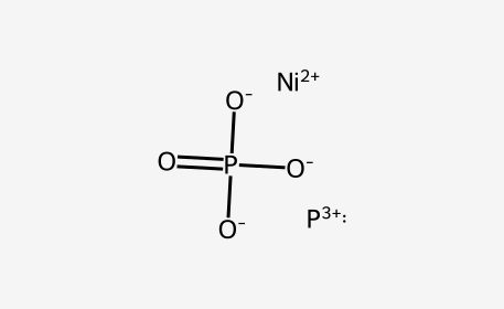 O=P([O-])([O-])[O-].[Ni+2].[P+3]